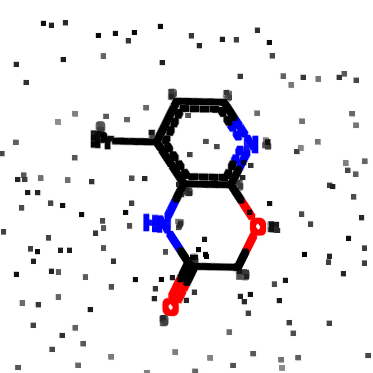 CC(C)c1ccnc2c1NC(=O)CO2